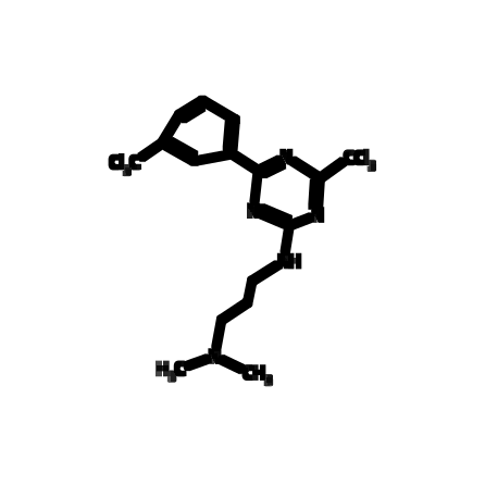 CN(C)CCCNc1nc(-c2cccc(C(Cl)(Cl)Cl)c2)nc(C(Cl)(Cl)Cl)n1